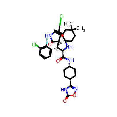 CC1(C)CCC2(CC1)N[C@@H](C(=O)N[C@H]1CC[C@H](c3noc(=O)[nH]3)CC1)[C@H](c1cccc(Cl)c1F)[C@]21C(=O)Nc2cc(Cl)ccc21